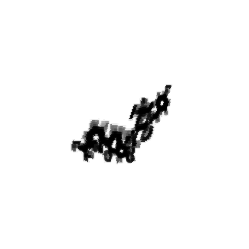 CC(N(Cc1ccc(F)cc1)C(=O)CN1CO[C@]2(C1)C(=O)CC1C(=O)C(c3cccc(C(F)F)n3)=CC=C12)C(F)(F)F